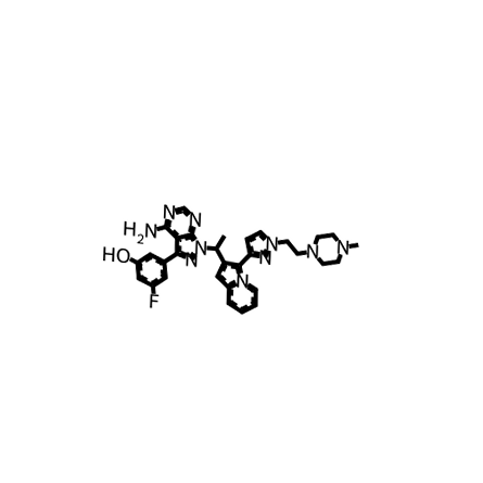 CC(c1cc2ccccn2c1-c1ccn(CCN2CCN(C)CC2)n1)n1nc(-c2cc(O)cc(F)c2)c2c(N)ncnc21